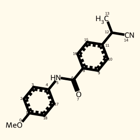 COc1ccc(NC(=O)c2ccc(C(C)C#N)cc2)cc1